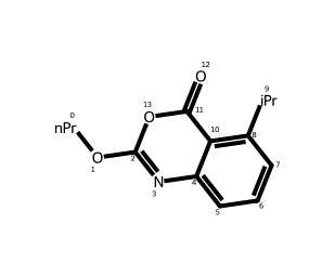 CCCOc1nc2cccc(C(C)C)c2c(=O)o1